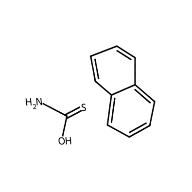 NC(O)=S.c1ccc2ccccc2c1